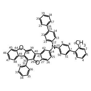 Cc1ccccc1-c1ccc(N(c2ccc(-c3ccccc3)cc2)c2ccc3oc4c(-c5ccccc5)c5c(cc4c3c2)oc2ccccc25)cc1